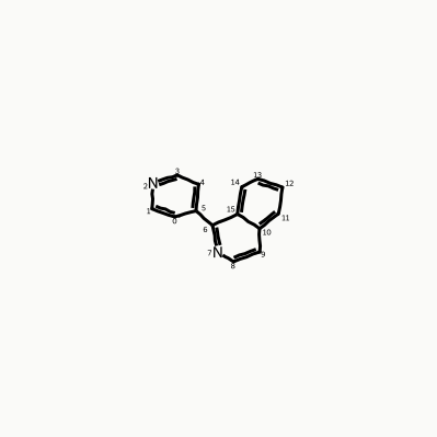 [c]1cnccc1-c1nccc2ccccc12